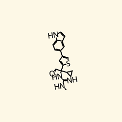 CNC(=N)NC(C=O)(c1cc(-c2ccc3[nH]ccc3c2)cs1)C1CC1